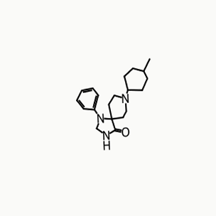 CC1CCC(N2CCC3(CC2)C(=O)NCN3c2ccccc2)CC1